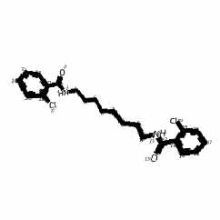 O=C(NCCCCCCCCNC(=O)c1ccccc1Cl)c1ccccc1Cl